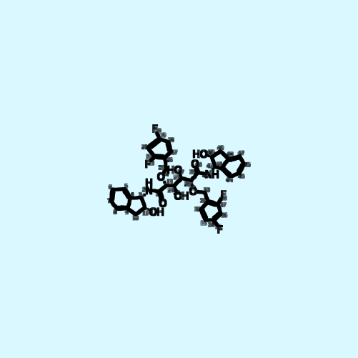 O=C(N[C@H]1c2ccccc2C[C@H]1O)[C@H](OCc1ccc(F)cc1F)[C@H](O)[C@@H](O)[C@@H](OCc1ccc(F)cc1F)C(=O)N[C@H]1c2ccccc2C[C@H]1O